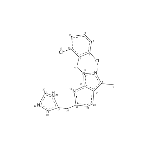 Cc1nn(Cc2c(Cl)cccc2Cl)c2nc(Cc3nnn[nH]3)ccc12